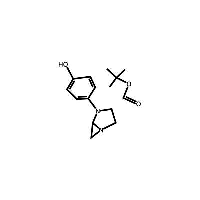 CC(C)(C)OC=O.Oc1ccc(N2CCN3CC32)cc1